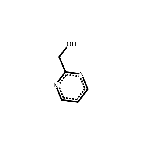 OCc1n[c]ccn1